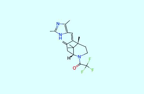 C=C1C[C@H]2N(C(=O)C(F)(F)F)CC[C@@](C)(/C1=C/c1[nH]c(C)nc1C)C2(C)C